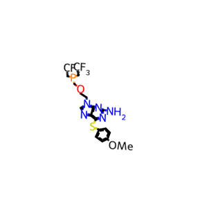 COc1ccc(Sc2nc(N)nc3c2ncn3CCOCP(CC(F)(F)F)CC(F)(F)F)cc1